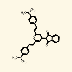 CN(C)c1ccc(C=CC2=CC(=C3C(=O)c4ccccc4C3=O)C=C(C=Cc3ccc(N(C)C)cc3)O2)cc1